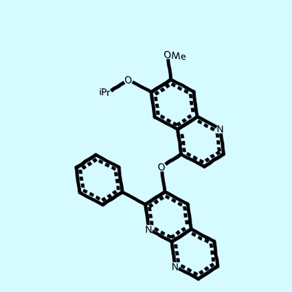 COc1cc2nccc(Oc3cc4cccnc4nc3-c3ccccc3)c2cc1OC(C)C